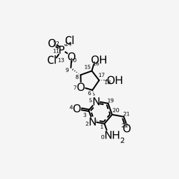 Nc1nc(=O)n([C@@H]2O[C@H](COP(=O)(Cl)Cl)C(O)[C@@H]2O)cc1C=O